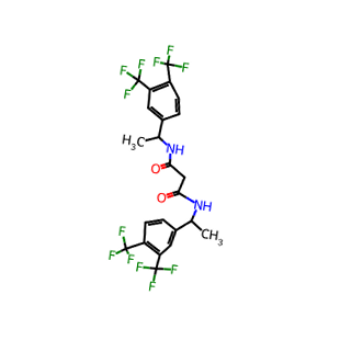 CC(NC(=O)CC(=O)NC(C)c1ccc(C(F)(F)F)c(C(F)(F)F)c1)c1ccc(C(F)(F)F)c(C(F)(F)F)c1